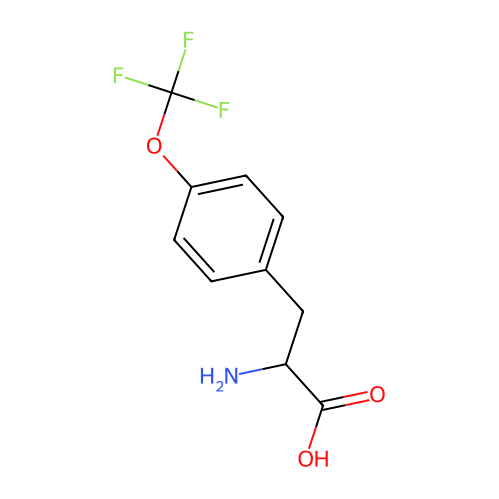 NC(Cc1ccc(OC(F)(F)F)cc1)C(=O)O